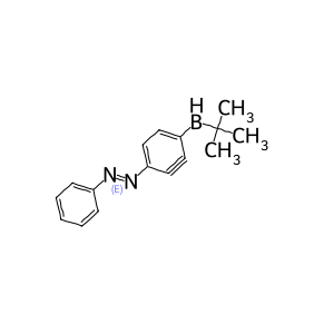 CC(C)(C)Bc1c#cc(/N=N/c2ccccc2)cc1